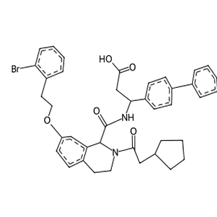 O=C(O)CC(NC(=O)C1c2cc(OCCc3ccccc3Br)ccc2CCN1C(=O)CC1CCCC1)c1ccc(-c2ccccc2)cc1